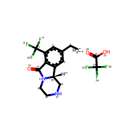 CCc1cc2c(c(C(F)(F)F)c1)C(=O)N1CCNC[C@@H]21.O=C(O)C(F)(F)F